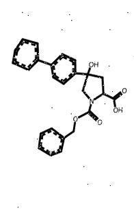 O=C(O)C1CC(O)(c2ccc(-c3ccccc3)cc2)CN1C(=O)OCc1ccccc1